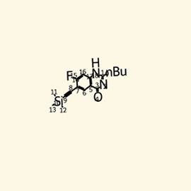 CCCCc1nc(=O)c2cc(C#C[Si](C)(C)C)c(F)cc2[nH]1